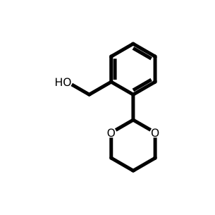 OCc1ccccc1C1OCCCO1